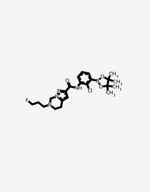 CC1(C)OB(c2cccc(NC(=O)c3cc4n(n3)CN(CCCF)CC4)c2Cl)OC1(C)C